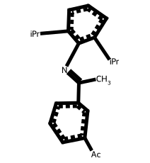 CC(=O)c1cccc(/C(C)=N/c2c(C(C)C)cccc2C(C)C)c1